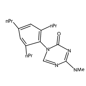 CCCc1cc(CCC)c(-n2cnc(NC)nc2=O)c(CCC)c1